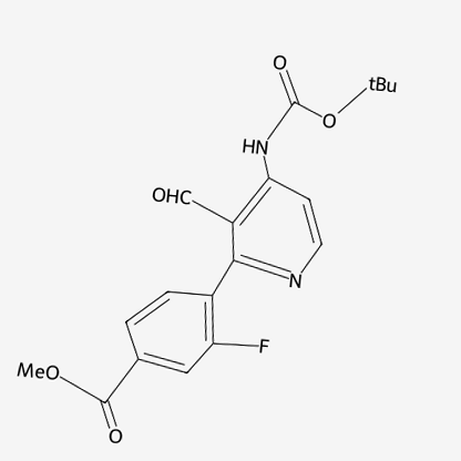 COC(=O)c1ccc(-c2nccc(NC(=O)OC(C)(C)C)c2C=O)c(F)c1